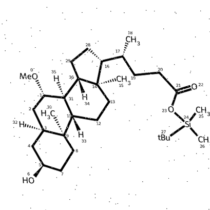 CO[C@H]1C[C@@H]2C[C@H](O)CC[C@]2(C)[C@H]2CC[C@]3(C)[C@@H]([C@H](C)CCC(=O)O[Si](C)(C)C(C)(C)C)CC[C@H]3[C@H]12